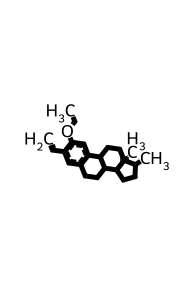 C=Cc1cc2c(cc1OCC)C1CC[C@]3(C)C(C)CCC3C1CC2